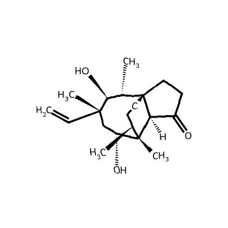 C=C[C@@]1(C)C[C@@H](O)[C@]2(C)[C@H](C)CC[C@]3(CCC(=O)[C@H]32)[C@@H](C)[C@@H]1O